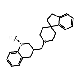 CN1CC(CN2CCC3(CCc4ccccc43)CC2)Cc2ccccc21